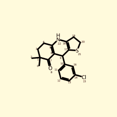 CC1(C)CCC2=C(C1=O)C(c1cccc(Cl)c1)C1=C(CCS1)N2